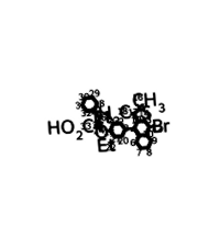 CCc1cc(-c2c3ccccc3c(Br)c3sc(C)c(C)c23)cc(CC)c1O[C@H](Cc1ccccc1)C(=O)O